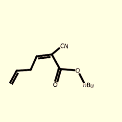 C=CCC=C(C#N)C(=O)OCCCC